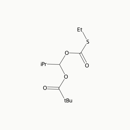 CCSC(=O)OC(OC(=O)C(C)(C)C)C(C)C